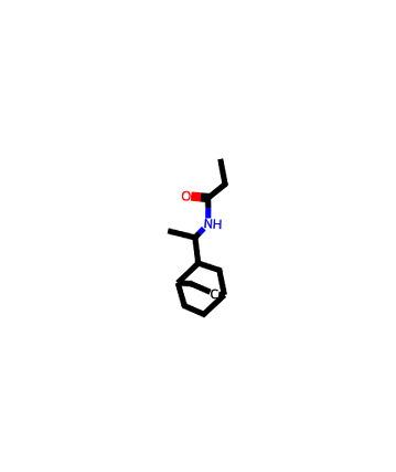 CCC(=O)NC(C)C1CC2CCC1CC2